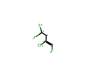 FC=C(Cl)CC(F)F